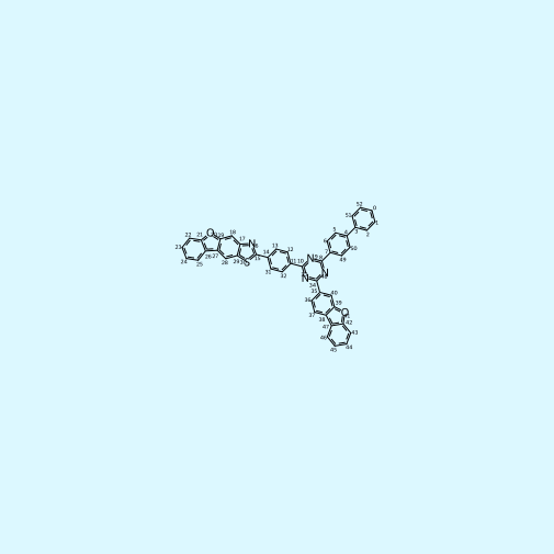 c1ccc(-c2ccc(-c3nc(-c4ccc(-c5nc6cc7oc8ccccc8c7cc6s5)cc4)nc(-c4ccc5c(c4)oc4ccccc45)n3)cc2)cc1